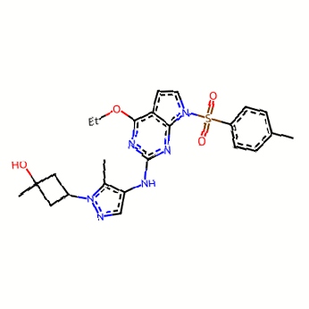 CCOc1nc(Nc2cnn(C3CC(C)(O)C3)c2C)nc2c1ccn2S(=O)(=O)c1ccc(C)cc1